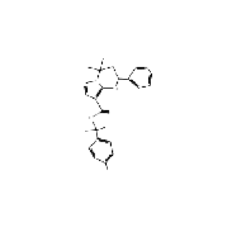 CCC(CC)(NC(=O)c1cnn2c1NC(c1ccccc1)CC2(C)C)c1ccc(Cl)cc1.Cl